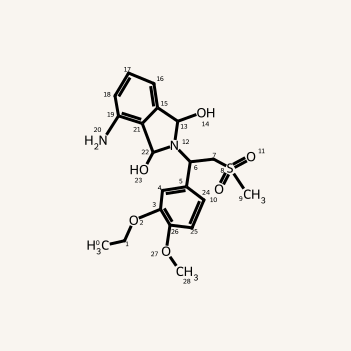 CCOc1cc(C(CS(C)(=O)=O)N2C(O)c3cccc(N)c3C2O)ccc1OC